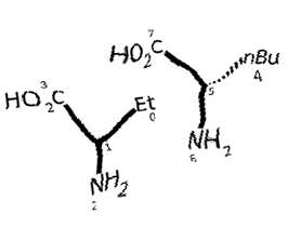 CCC(N)C(=O)O.CCCC[C@H](N)C(=O)O